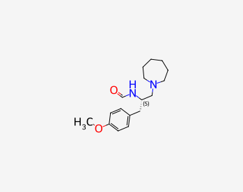 COc1ccc(C[C@@H](CN2CCCCCC2)NC=O)cc1